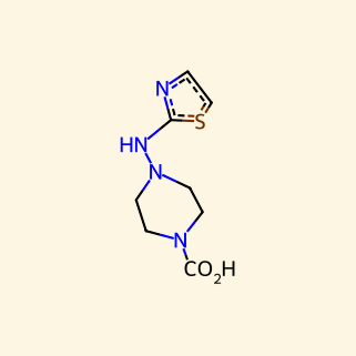 O=C(O)N1CCN(Nc2nccs2)CC1